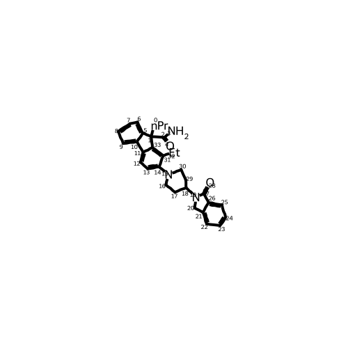 CCCC1(C(N)=O)c2ccccc2-c2ccc(N3CCC(N4Cc5ccccc5C4=O)CC3)c(CC)c21